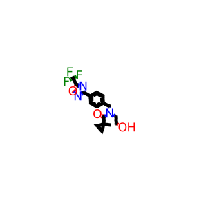 CC1(C(=O)N(CCO)Cc2ccc(-c3noc(C(F)(F)F)n3)cc2)CC1